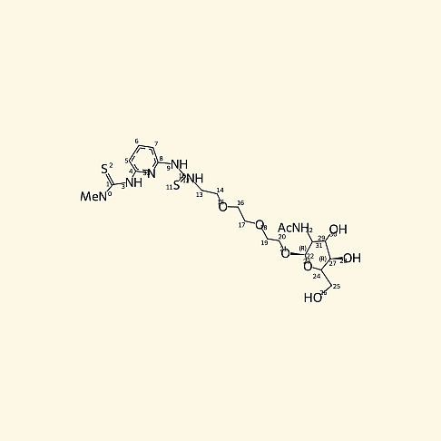 CNC(=S)Nc1cccc(NC(=S)NCCOCCOCCO[C@@H]2OC(CO)[C@H](O)C(O)C2NC(C)=O)n1